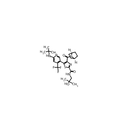 CC(C)(O)CNC(=O)c1nc(C(=O)N2[C@H]3CC[C@@H]2CC3)c(-c2cnc(NC(C)(C)C)cc2C(F)(F)F)s1